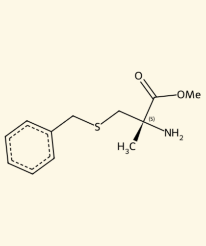 COC(=O)[C@](C)(N)CSCc1ccccc1